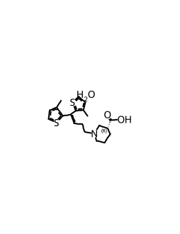 Cc1ccsc1C(=CCCN1CCC[C@@H](C(=O)O)C1)c1sccc1C.O